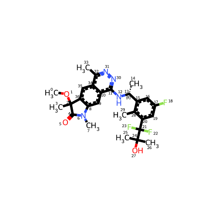 COC1(C)C(=O)N(C)c2cc3c(N[C@H](C)c4cc(F)cc(C(F)(F)C(C)(C)O)c4C)nnc(C)c3cc21